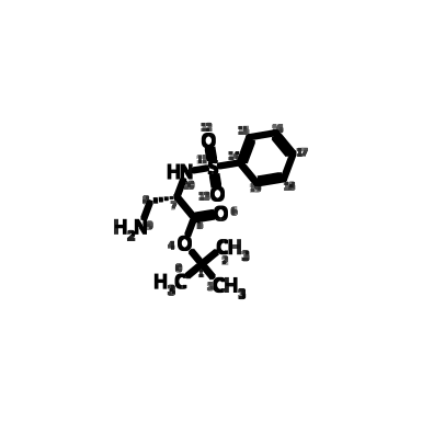 CC(C)(C)OC(=O)[C@H](CN)NS(=O)(=O)c1ccccc1